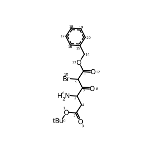 CC(C)(C)OC(=O)CC(N)C(=O)C(Br)C(=O)OCc1ccccc1